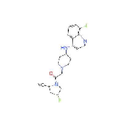 N#C[C@@H]1C[C@H](F)CN1C(=O)CN1CCC(Nc2ccnc3c(F)cccc23)CC1